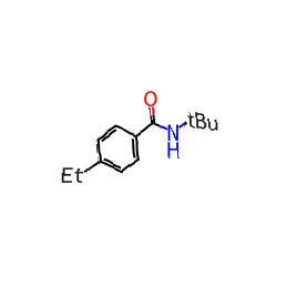 CCc1ccc(C(=O)NC(C)(C)C)cc1